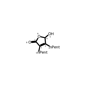 CCCCCC1=C(CCCCC)C(O)OC1=O